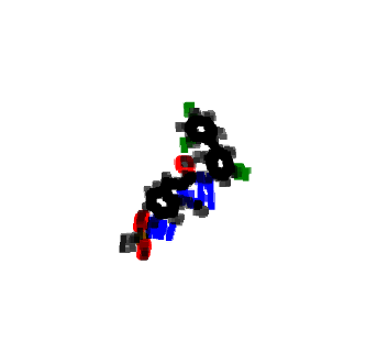 CCS(=O)(=O)Nc1ccc2cc(C(=O)Nc3cc(Br)cc(-c4ccc(F)cc4F)c3)n(C)c2c1